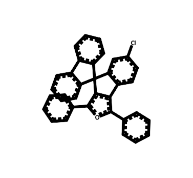 Clc1ccc2c(c1)C1(c3ccccc3-c3ccccc31)c1c(-c3ccccc3)oc(-c3ccccc3)c1-2